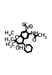 C.CC(=O)Nc1cc2c(cc1[N+](=O)[O-])OC(C)(C)[C@@H](O)[C@@H]2N1CCCCC1